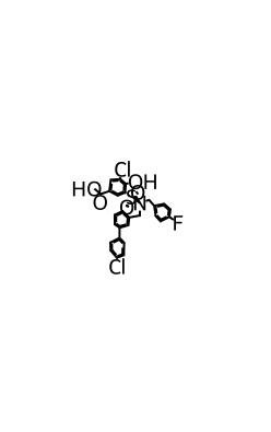 O=C(O)c1cc(Cl)c(O)c(S(=O)(=O)N(Cc2ccc(F)cc2)Cc2cccc(-c3ccc(Cl)cc3)c2)c1